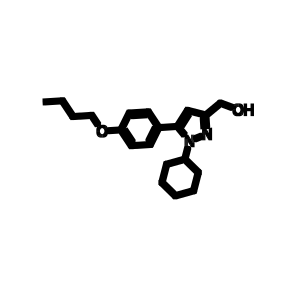 CCCCOc1ccc(-c2cc(CO)nn2C2CCCCC2)cc1